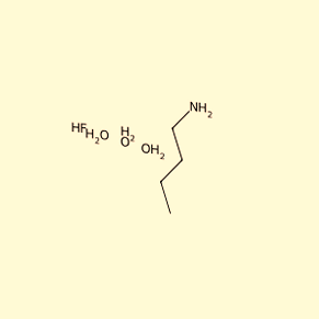 CCCCN.F.O.O.O